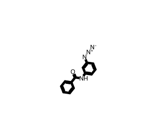 [N-]=[N+]=Nc1cccc(NC(=O)c2ccccc2)c1